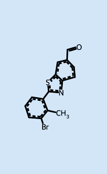 Cc1c(Br)cccc1-c1nc2ccc(C=O)cc2s1